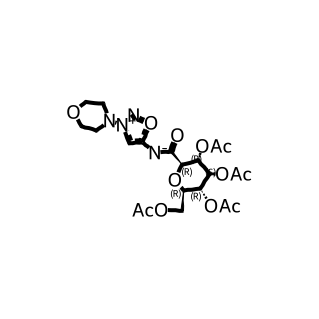 CC(=O)OC[C@H]1O[C@@H](C(=O)[N-]c2c[n+](N3CCOCC3)no2)[C@H](OC(C)=O)[C@@H](OC(C)=O)[C@@H]1OC(C)=O